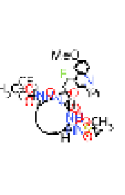 COc1ccc2nc(C(C)C)c3c(c2c1)[C@H](F)C[C@]1(C[C@H]2C(=O)N[C@]4(C(=O)NS(=O)(=O)C5(C)CC5)C[C@H]4/C=C\CCCCC[C@H](NC(=O)OC(C)(C)C(F)(F)F)C(=O)N2C1)O3